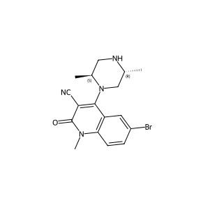 C[C@@H]1CN(c2c(C#N)c(=O)n(C)c3ccc(Br)cc23)[C@@H](C)CN1